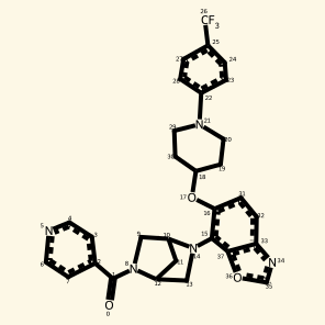 O=C(c1ccncc1)N1CC2CC1CN2c1c(OC2CCN(c3ccc(C(F)(F)F)cc3)CC2)ccc2n[c]oc12